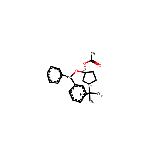 CC(=O)O[C@]1(O[SiH](c2ccccc2)c2ccccc2)CC[C@@H](C(C)(C)C)C1